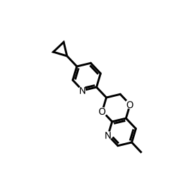 Cc1cnc2c(c1)OCC(c1ccc(C3CC3)cn1)O2